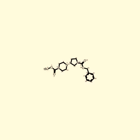 CC(C)(C)OC(=O)N1CCN([C@@H]2CCN(C(=O)OCc3ccccc3)C2)CC1